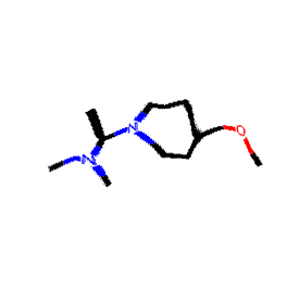 C=C(N(C)C)N1CCC(OC)CC1